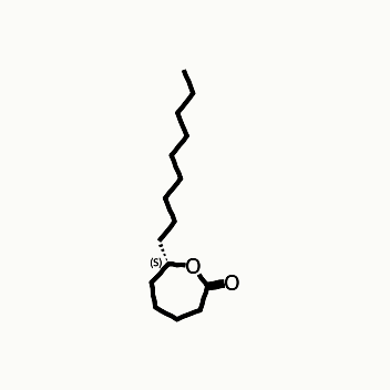 CCCCCCCCC[C@H]1CCCCC(=O)O1